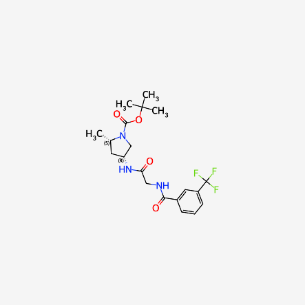 C[C@H]1C[C@@H](NC(=O)CNC(=O)c2cccc(C(F)(F)F)c2)CN1C(=O)OC(C)(C)C